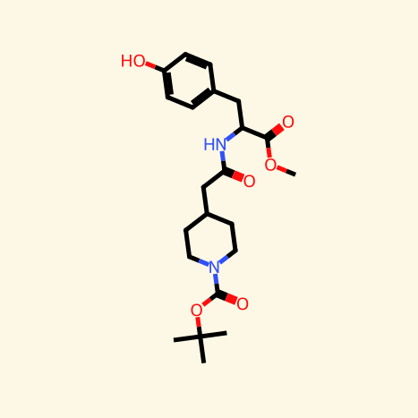 COC(=O)C(Cc1ccc(O)cc1)NC(=O)CC1CCN(C(=O)OC(C)(C)C)CC1